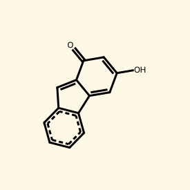 O=C1C=C(O)C=C2C1=Cc1ccccc12